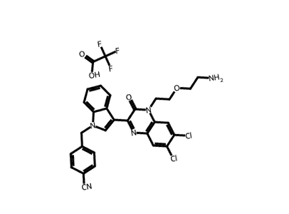 N#Cc1ccc(Cn2cc(-c3nc4cc(Cl)c(Cl)cc4n(CCOCCN)c3=O)c3ccccc32)cc1.O=C(O)C(F)(F)F